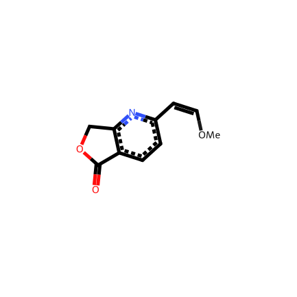 CO/C=C\c1ccc2c(n1)COC2=O